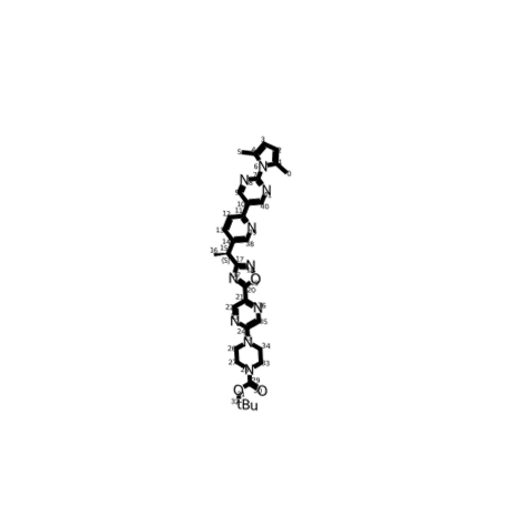 Cc1ccc(C)n1-c1ncc(-c2ccc([C@H](C)c3noc(-c4cnc(N5CCN(C(=O)OC(C)(C)C)CC5)cn4)n3)cn2)cn1